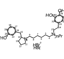 Br.Br.CCCN(CCCCCCN1CCCC1Cc1cccc(O)c1)CCc1ccc(O)c(O)c1